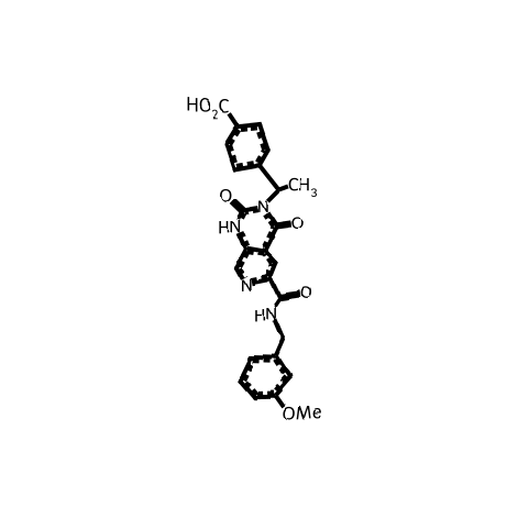 COc1cccc(CNC(=O)c2cc3c(=O)n(C(C)c4ccc(C(=O)O)cc4)c(=O)[nH]c3cn2)c1